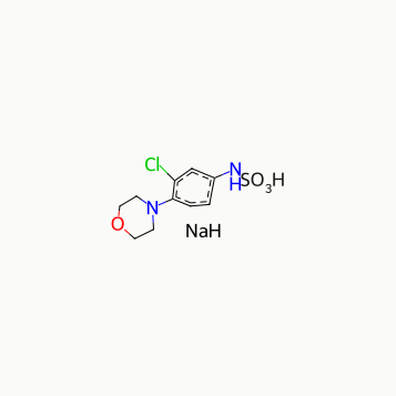 O=S(=O)(O)Nc1ccc(N2CCOCC2)c(Cl)c1.[NaH]